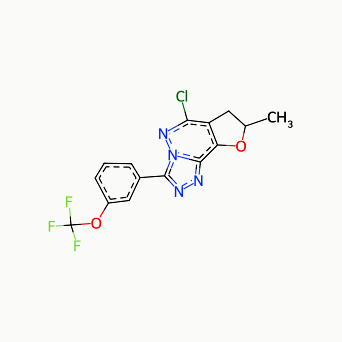 CC1Cc2c(Cl)nn3c(-c4cccc(OC(F)(F)F)c4)nnc3c2O1